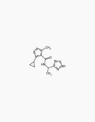 Cc1ccn(C2CC2)c1C(=O)NC(C)c1nc[nH]n1